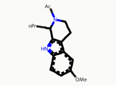 CCCC1c2[nH]c3ccc(OC)cc3c2CCN1C(C)=O